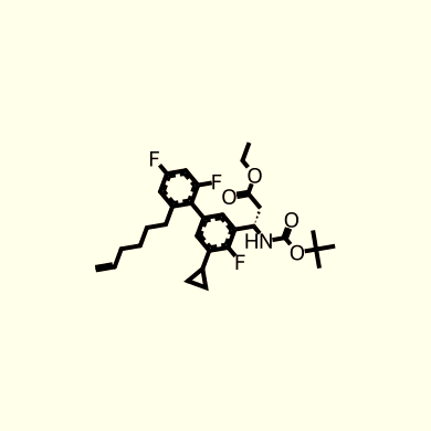 C=CCCCCc1cc(F)cc(F)c1-c1cc(C2CC2)c(F)c([C@H](CC(=O)OCC)NC(=O)OC(C)(C)C)c1